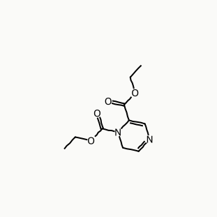 CCOC(=O)C1=CN=CCN1C(=O)OCC